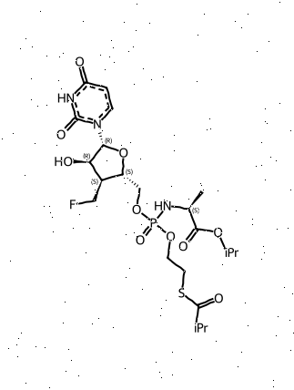 CC(C)OC(=O)[C@H](C)NP(=O)(OCCSC(=O)C(C)C)OC[C@H]1O[C@@H](n2ccc(=O)[nH]c2=O)[C@H](O)[C@@H]1CF